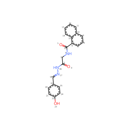 O=C(CNC(=O)c1cccc2ccccc12)NN=Cc1ccc(O)cc1